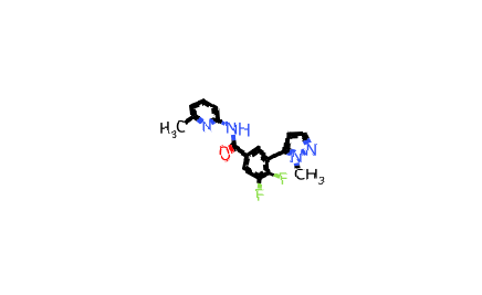 Cc1cccc(NC(=O)c2cc(F)c(F)c(-c3ccnn3C)c2)n1